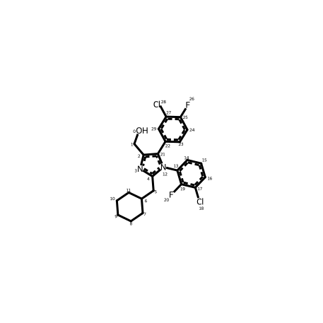 OCc1nc(CC2CCCCC2)n(-c2cccc(Cl)c2F)c1-c1ccc(F)c(Cl)c1